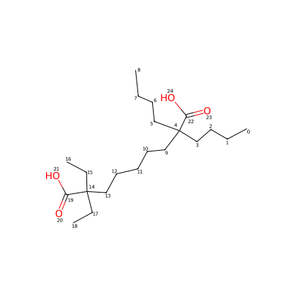 CCCCC(CCCC)(CCCCCC(CC)(CC)C(=O)O)C(=O)O